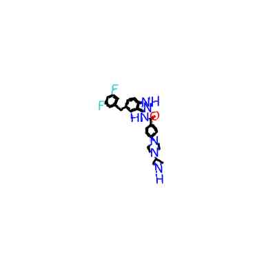 O=C(Nc1n[nH]c2ccc(Cc3cc(F)cc(F)c3)cc12)c1ccc(N2CCN(C3CNC3)CC2)cc1